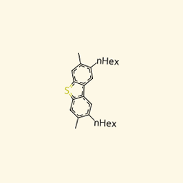 CCCCCCc1cc2c(cc1C)sc1cc(C)c(CCCCCC)cc12